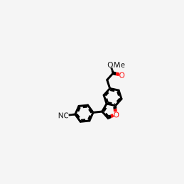 COC(=O)Cc1ccc2occ(-c3ccc(C#N)cc3)c2c1